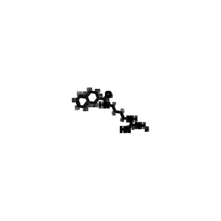 N=C(N)NCCCCNC(=O)C1CCc2ccccc2C1